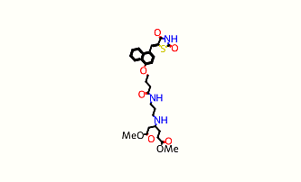 COC(=O)CCC(CC(=O)OC)NCCCNC(=O)CCCOc1ccc(/C=C2\SC(=O)NC2=O)c2ccccc12